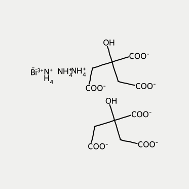 O=C([O-])CC(O)(CC(=O)[O-])C(=O)[O-].O=C([O-])CC(O)(CC(=O)[O-])C(=O)[O-].[Bi+3].[NH4+].[NH4+].[NH4+]